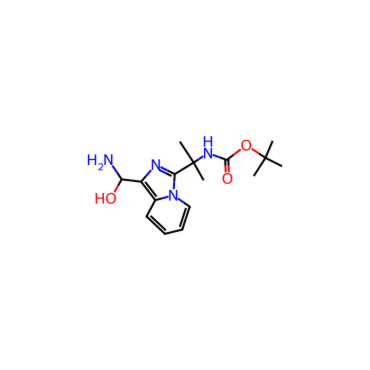 CC(C)(C)OC(=O)NC(C)(C)c1nc(C(N)O)c2ccccn12